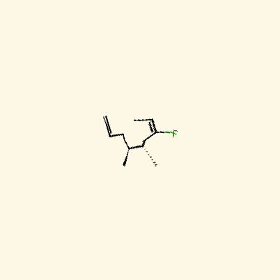 C=CC[C@H](C)[C@@H](C)/C(F)=C\C